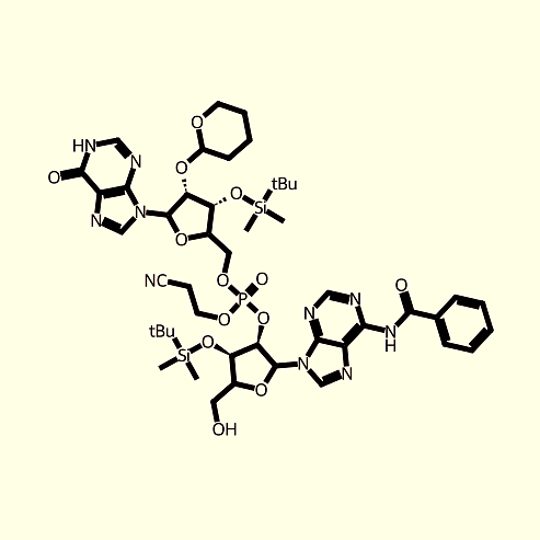 CC(C)(C)[Si](C)(C)O[C@@H]1C(CO)OC(n2cnc3c(NC(=O)c4ccccc4)ncnc32)[C@@H]1OP(=O)(OCCC#N)OCC1OC(n2cnc3c(=O)[nH]cnc32)[C@H](OC2CCCCO2)[C@@H]1O[Si](C)(C)C(C)(C)C